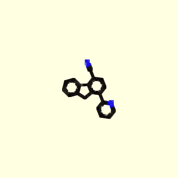 N#Cc1ccc(-c2ccccn2)c2c1-c1ccccc1C2